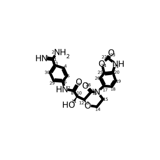 N=C(N)c1ccc(NC(=O)[C@H](O)[C@H]2OCCN(c3ccc4[nH]c(=O)oc4c3)C2=O)cc1